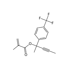 C=C(C)C(=O)OC(C)(C#CC)c1ccc(C(F)(F)F)cc1